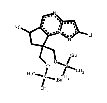 CC(C)(C)[Si](C)(C)OCC1(CO[Si](C)(C)C(C)(C)C)CC(C#N)c2cnc3cc(Cl)nn3c21